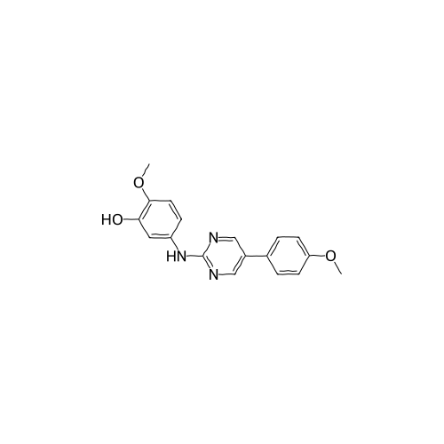 COc1ccc(-c2cnc(Nc3ccc(OC)c(O)c3)nc2)cc1